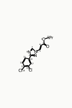 CC(C)OC(=O)/C=C/n1cnc(-c2ccc(Cl)c(Cl)c2)n1